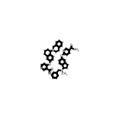 CN(Cc1ccccc1)C1CCc2cc(Oc3ccc(C(N)=O)cn3)ccc21.NC(=O)c1cnccc1Oc1ccc2c(c1)CCCC2N1CCc2ccccc2C1